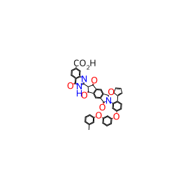 Cc1cccc(Oc2cccc(Oc3ccc(C4=CC=CC4)c(N4C(=O)c5cc6c(cc5C4=O)C(=O)C(c4nc5cc(C(=O)O)ccc5c(=O)[nH]4)C6=O)c3)c2)c1